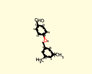 Cc1cc(C)cc(COc2ccc(C=O)cc2)c1